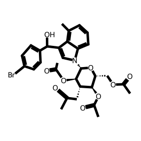 CC(=O)C[C@@H]1[C@@H](OC(C)=O)[C@H](n2cc(C(O)c3ccc(Br)cc3)c3c(C)cccc32)O[C@H](COC(C)=O)[C@H]1OC(C)=O